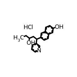 CCC(O)CC(c1cccnc1)c1ccc2cc(O)ccc2c1.Cl